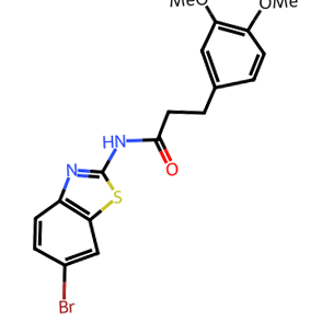 COc1ccc(CCC(=O)Nc2nc3ccc(Br)cc3s2)cc1OC